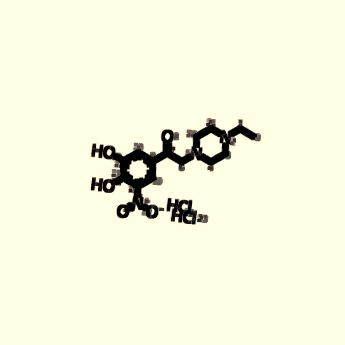 CCN1CCN(CC(=O)c2cc(O)c(O)c([N+](=O)[O-])c2)CC1.Cl.Cl